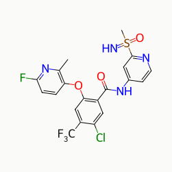 Cc1nc(F)ccc1Oc1cc(C(F)(F)F)c(Cl)cc1C(=O)Nc1ccnc(S(C)(=N)=O)c1